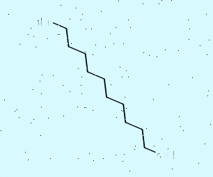 CC(C)CCCCCCCCCCO